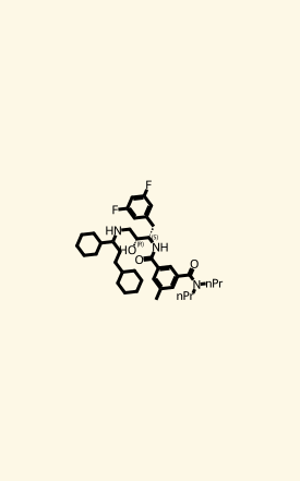 CCCN(CCC)C(=O)c1cc(C)cc(C(=O)N[C@@H](Cc2cc(F)cc(F)c2)[C@H](O)CNC(CCC2CCCCC2)C2CCCCC2)c1